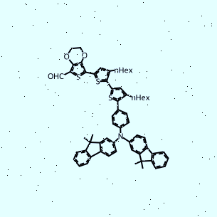 CCCCCCc1cc(-c2sc(-c3sc(C=O)c4c3OCCO4)cc2CCCCCC)sc1-c1ccc(N(c2ccc3c(c2)C(C)(C)c2ccccc2-3)c2ccc3c(c2)C(C)(C)c2ccccc2-3)cc1